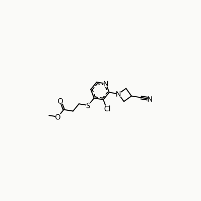 COC(=O)CCSc1ccnc(N2CC(C#N)C2)c1Cl